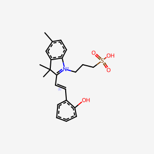 Cc1ccc2c(c1)C(C)(C)C(/C=C/c1ccccc1O)=[N+]2CCCS(=O)(=O)O